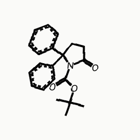 CC(C)(C)OC(=O)N1C(=O)CCC1(c1ccccc1)c1ccccc1